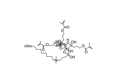 C=C(C)C(=O)OCCC[Si](O)(O)O[Si](O[Si](O)(O)CCCOC(=O)C(=C)C)(O[Si](O)(O)CCCOC(=O)C(=C)C)O[Si](O)(O)CCC[N+](C)(C)CCCCCCCCCCCCCCCCCC